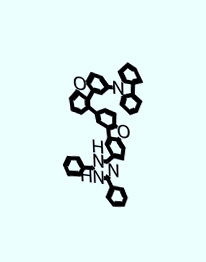 c1ccc(C2=NC(c3ccc4oc5ccc(-c6cccc7oc8ccc(-n9c%10ccccc%10c%10ccccc%109)cc8c67)cc5c4c3)NC(c3ccccc3)N2)cc1